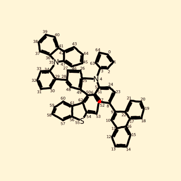 c1ccc(N(c2ccc(-c3cc4ccccc4c4ccccc34)cc2)c2ccc(-c3ccccc3-n3c4ccccc4c4ccccc43)cc2-c2cccc3sc4ccccc4c23)cc1